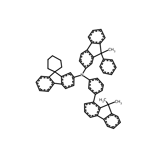 CC1(C)c2ccccc2-c2cccc(-c3cccc(N(c4ccc5c(c4)C4(CCCCC4)c4ccccc4-5)c4ccc5c(c4)C(C)(c4ccccc4)c4ccccc4-5)c3)c21